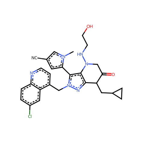 Cn1cc(C#N)cc1-c1c2c(nn1Cc1ccnc3ccc(Cl)cc13)C(CC1CC1)C(=O)CN2NCCO